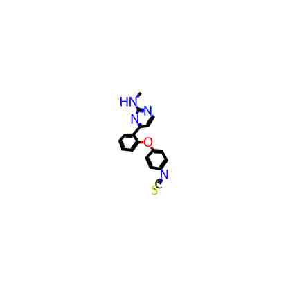 CNc1nccc(-c2ccccc2Oc2ccc(N=C=S)cc2)n1